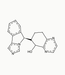 OC1c2nccnc2CCC1[C@@H]1c2ccccc2-c2cncn21